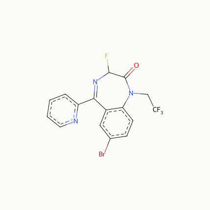 O=C1C(F)N=C(c2ccccn2)c2cc(Br)ccc2N1CC(F)(F)F